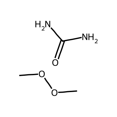 COOC.NC(N)=O